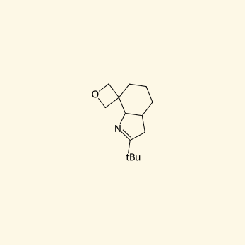 CC(C)(C)C1=NC2C(CCCC23COC3)C1